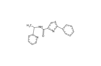 CC(NC(=O)c1csc(-c2ccccc2)n1)c1ccccn1